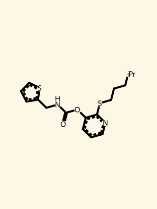 CC(C)CCCSc1ncccc1OC(=O)NCc1cccs1